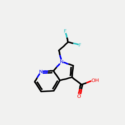 O=C(O)c1cn(CC(F)F)c2ncccc12